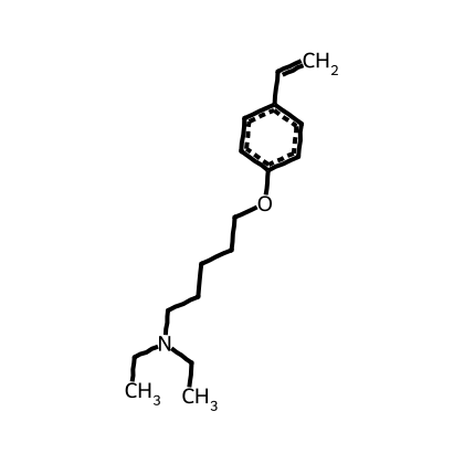 C=Cc1ccc(OCCCCCN(CC)CC)cc1